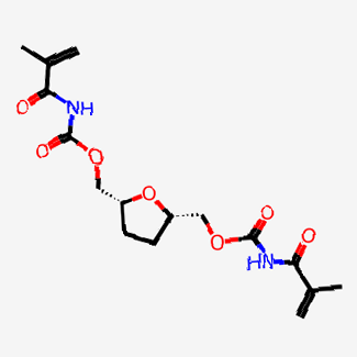 C=C(C)C(=O)NC(=O)OC[C@H]1CC[C@@H](COC(=O)NC(=O)C(=C)C)O1